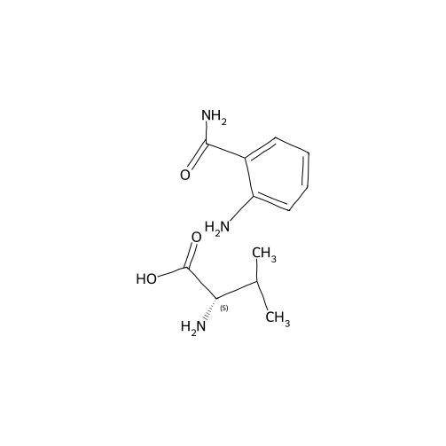 CC(C)[C@H](N)C(=O)O.NC(=O)c1ccccc1N